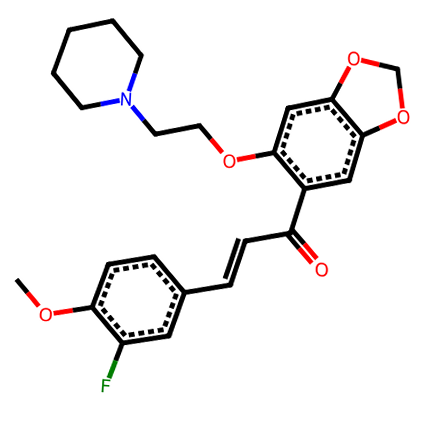 COc1ccc(C=CC(=O)c2cc3c(cc2OCCN2CCCCC2)OCO3)cc1F